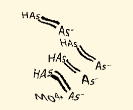 [As-]=[AsH].[As-]=[AsH].[As-]=[AsH].[As-]=[AsH].[Mo+4]